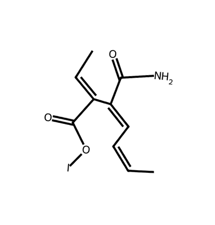 C\C=C/C=C(C(N)=O)\C(=C/C)C(=O)OI